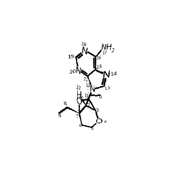 CC[C@@H]1C2OCC[C@]1(CC)O[C@H]2n1cnc2c(N)ncnc21